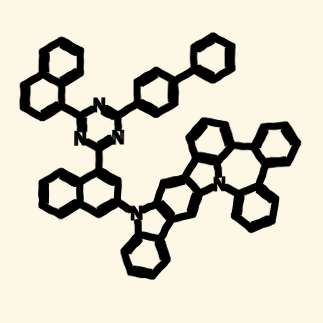 c1ccc(-c2ccc(-c3nc(-c4cccc5ccccc45)nc(-c4cc(-n5c6ccccc6c6cc7c(cc65)c5cccc6c5n7-c5ccccc5-c5ccccc5-6)cc5ccccc45)n3)cc2)cc1